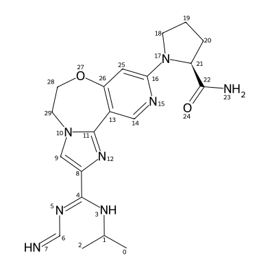 CC(C)N/C(=N\C=N)c1cn2c(n1)-c1cnc(N3CCC[C@H]3C(N)=O)cc1OCC2